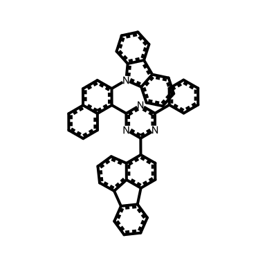 c1ccc(-c2nc(-c3c(-n4c5ccccc5c5ccccc54)ccc4ccccc34)nc(-c3ccc4c5c(cccc35)-c3ccccc3-4)n2)cc1